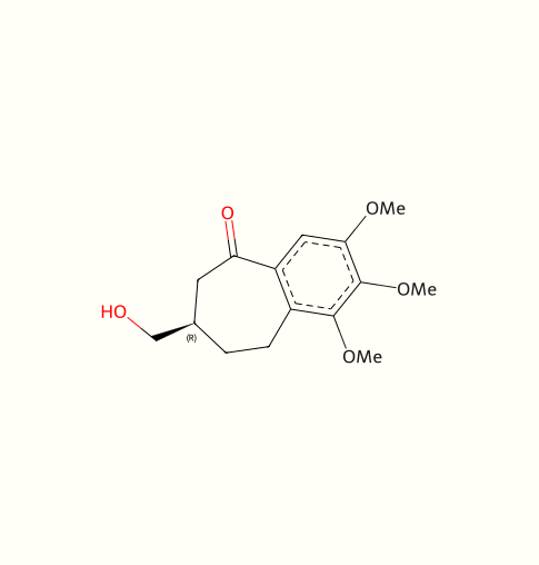 COc1cc2c(c(OC)c1OC)CC[C@@H](CO)CC2=O